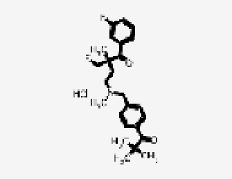 CN(CCC(C)(CF)C(=O)c1cccc(F)c1)Cc1ccc(C(=O)C(C)(C)C)cc1.Cl